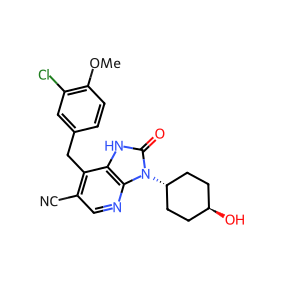 COc1ccc(Cc2c(C#N)cnc3c2[nH]c(=O)n3[C@H]2CC[C@H](O)CC2)cc1Cl